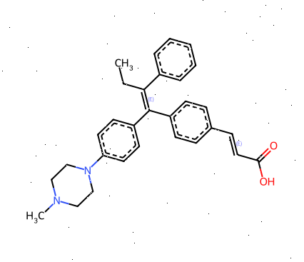 CC/C(=C(/c1ccc(/C=C/C(=O)O)cc1)c1ccc(N2CCN(C)CC2)cc1)c1ccccc1